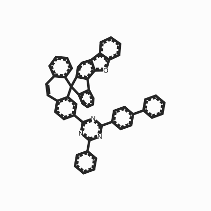 C1=Cc2ccc(-c3nc(-c4ccccc4)nc(-c4ccc(-c5ccccc5)cc4)n3)cc2C2(c3ccccc31)c1ccccc1-c1c2ccc2c1oc1ccccc12